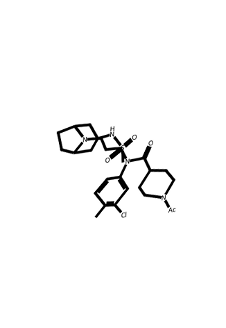 CC(=O)N1CCC(C(=O)N(CCCN2C3CCC2CC(NS(C)(=O)=O)C3)c2ccc(C)c(Cl)c2)CC1